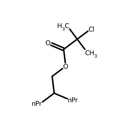 CCCC(CCC)COC(=O)C(C)(C)Cl